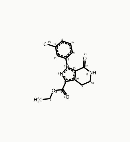 CCOC(=O)c1nn(-c2cccc(Cl)c2)c2c1CCNC2=O